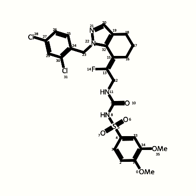 COc1ccc(S(=O)(=O)NC(=O)NCC(F)=C2CCCc3cnn(Cc4ccc(Cl)cc4Cl)c32)cc1OC